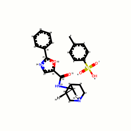 Cc1ccc(S(=O)(=O)O)cc1.O=C(N[C@H]1CN2CCC1CC2)c1cnc(-c2ccccc2)o1